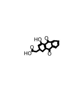 O=C(O)CC1C=C(O)C2=C(C1)C(=O)c1ccccc1C2=O